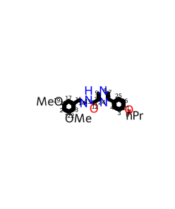 CCCOc1ccc(-c2cncc(C(=O)NN=Cc3cc(OC)cc(OC)c3)n2)cc1